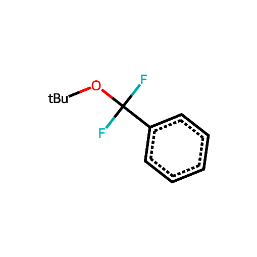 CC(C)(C)OC(F)(F)c1ccccc1